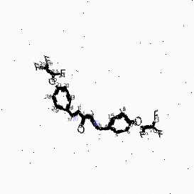 O=C(/C=C/c1ccc(OC(F)=C(F)F)cc1)/C=C/c1ccc(OC(F)=C(F)F)cc1